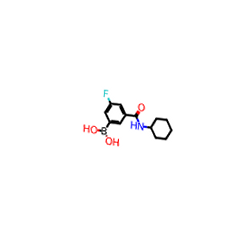 O=C(NC1CCCCC1)c1cc(F)cc(B(O)O)c1